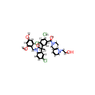 CCN(Cc1ccc[n+](CCO)c1)C(=O)c1ccc(Cl)c(C2(C)C(=O)N(Cc3ccc(OC)cc3OC)c3ccc(Cl)cc32)c1.[Cl-]